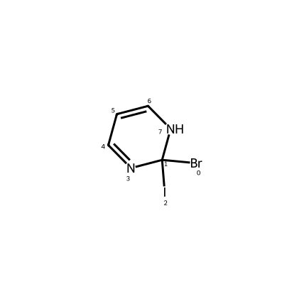 BrC1(I)N=CC=CN1